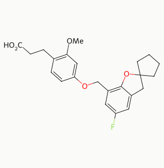 COc1cc(OCc2cc(F)cc3c2OC2(CCCC2)C3)ccc1CCC(=O)O